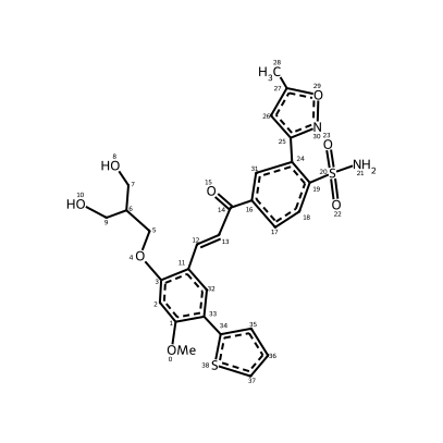 COc1cc(OCC(CO)CO)c(C=CC(=O)c2ccc(S(N)(=O)=O)c(-c3cc(C)on3)c2)cc1-c1cccs1